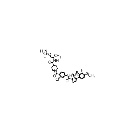 COc1ccc(-c2cnc(C(=O)Nc3ccc(C(=O)N4CCC(C(=O)NC(C)COC(N)=O)CC4)c(Cl)c3)n2C)c(F)c1F